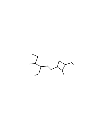 CCC(C)C(CN)CCC1CC(CC)C1C